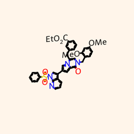 CCOC(=O)c1cccc(Cc2cn(Cc3ccc(OC)cc3OC)c(=O)c3cc(-c4cn(S(=O)(=O)c5ccccc5)c5ncccc45)cn23)c1